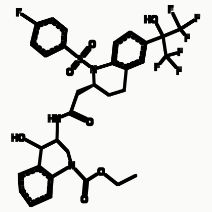 CCOC(=O)N1CC(NC(=O)C[C@@H]2CCc3cc(C(O)(C(F)(F)F)C(F)(F)F)ccc3N2S(=O)(=O)c2ccc(F)cc2)C(O)c2ccccc21